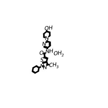 Cc1nn(C2CCCCC2)c2sc(C(=O)Nc3ccc(N4CCC(O)CC4)nc3)cc12.O